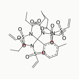 C=CS(=O)(=O)N(C(=O)CC)c1c(C)cccc1C(N(C(=O)CC)S(=O)(=O)C=C)(N(C(=O)CC)S(=O)(=O)C=C)N(C(=O)CC)S(=O)(=O)C=C